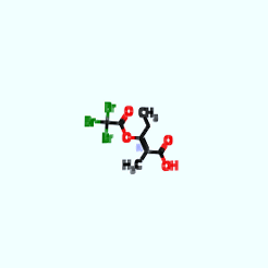 CC/C(OC(=O)C(Br)(Br)Br)=C(/C)C(=O)O